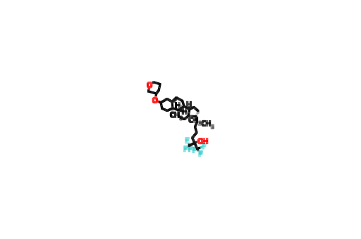 C[C@H](CCCC(O)(C(F)(F)F)C(F)(F)F)[C@H]1CC[C@H]2[C@@H]3CC=C4CC(OC5CCCOC5)CC[C@]4(C)[C@H]3CC[C@]12C